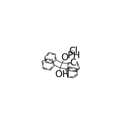 OC(c1ccccc1)(c1ccccc1)C(OPCl)(c1ccccc1)c1ccccc1